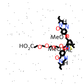 C/C=C1\C[C@H]2C=Nc3cc(OCc4cc5cc(COc6cc7c(cc6OC)C(=O)N6C/C(=C/C)C[C@H]6C=N7)c4C(COCCOCCOCCOCCC(=O)O)N(C(C)=O)SC5(C)C)c(OC)cc3C(=O)N2C1